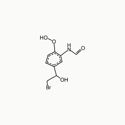 O=CNc1cc(C(O)CBr)ccc1OO